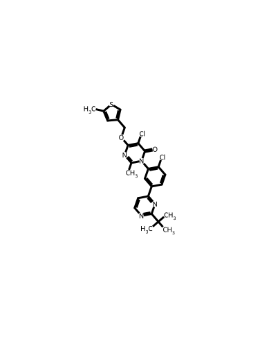 Cc1cc(COc2nc(C)n(-c3cc(-c4ccnc(C(C)(C)C)n4)ccc3Cl)c(=O)c2Cl)cs1